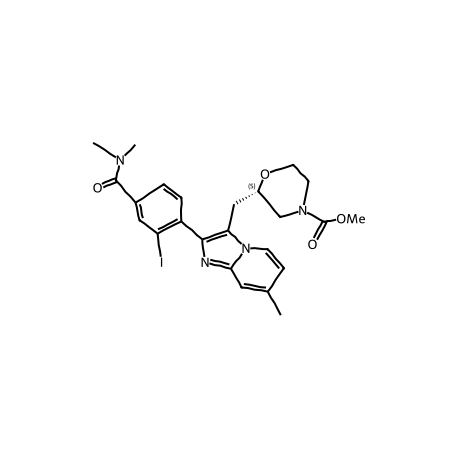 COC(=O)N1CCO[C@@H](Cc2c(-c3ccc(C(=O)N(C)C)cc3I)nc3cc(C)ccn23)C1